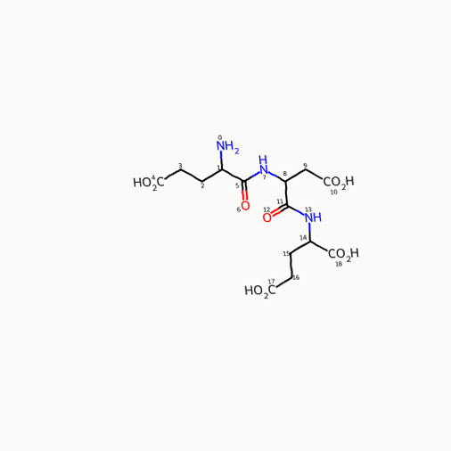 NC(CCC(=O)O)C(=O)NC(CC(=O)O)C(=O)NC(CCC(=O)O)C(=O)O